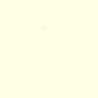 N#CN(C=O)C1CCC(c2ccccc2)CC1